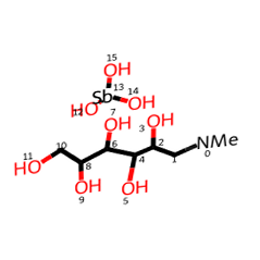 CNCC(O)C(O)C(O)C(O)CO.[OH][Sb]([OH])[OH]